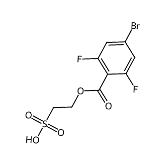 O=C(OCCS(=O)(=O)O)c1c(F)cc(Br)cc1F